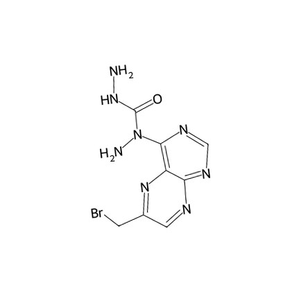 NNC(=O)N(N)c1ncnc2ncc(CBr)nc12